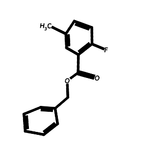 Cc1ccc(F)c(C(=O)OCc2ccccc2)c1